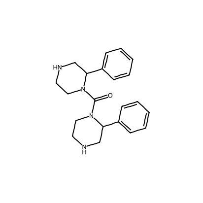 O=C(N1CCNCC1c1ccccc1)N1CCNCC1c1ccccc1